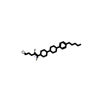 CCCCCc1ccc(C2CCC(C3CCC(/C(F)=C(\F)CCC=O)CC3)CC2)cc1